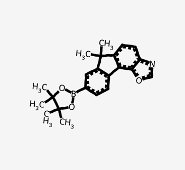 CC1(C)c2cc(B3OC(C)(C)C(C)(C)O3)ccc2-c2c1ccc1ncoc21